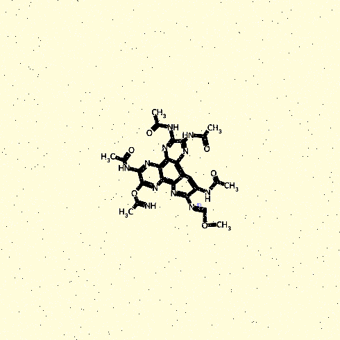 CO/C=N/c1nc2c(cc1NC(C)=O)c1nc(NC(C)=O)c(NC(C)=O)nc1c1nc(NC(C)=O)c(OC(C)=N)nc21